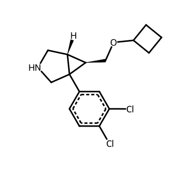 Clc1ccc(C23CNC[C@@H]2[C@H]3COC2CCC2)cc1Cl